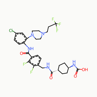 O=C(O)N[C@H]1CC[C@H](C(=O)NCc2ccc(C(=O)Nc3ccc(Cl)cc3N3CCN(CCC(F)(F)F)CC3)c(F)c2F)CC1